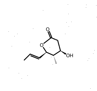 C/C=C/[C@H]1OC(=O)C[C@@H](O)[C@@H]1C